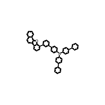 c1ccc(-c2ccc(N(c3ccc(-c4ccccc4)cc3)c3ccc(-c4cccc(-c5cccc6c5oc5c7ccccc7ccc65)c4)cc3)cc2)cc1